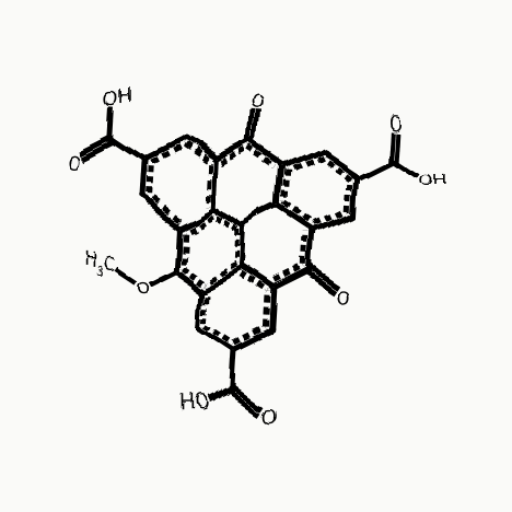 COc1c2cc(C(=O)O)cc3c(=O)c4cc(C(=O)O)cc5c4-c(c23)c2c1cc(C(=O)O)cc2c5=O